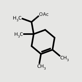 CC(=O)OC(C)C1(C)CCC(C)=C(C)C1